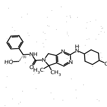 CC1(C)c2cnc(NC3CCC(O)CC3)nc2CN1C(=O)N[C@H](CO)c1ccccc1